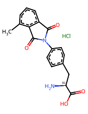 Cc1cccc2c1C(=O)N(c1ccc(C[C@H](N)C(=O)O)cc1)C2=O.Cl